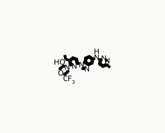 Cc1ccc(Nc2ccc3c(c2)ncn3-c2ccc(C(C)O)c(N3CCOC(C(F)(F)F)C3)n2)nn1